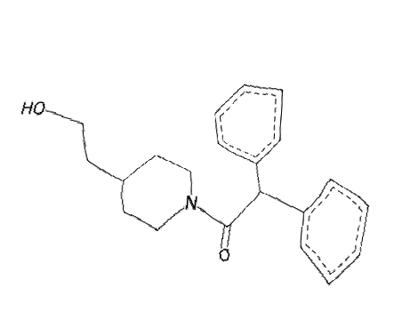 O=C(C(c1ccccc1)c1ccccc1)N1CCC(CCO)CC1